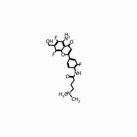 CN(C)CCCC(=O)Nc1ccc(-c2cc(=O)c3c(N)c(F)c(CO)c(F)c3o2)cc1F